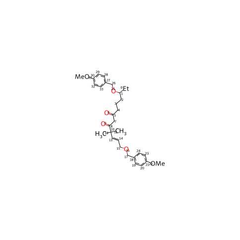 CCC(CCCC(=O)CC(=O)C(C)(C)/C=C/COCc1ccc(OC)cc1)OCc1ccc(OC)cc1